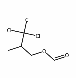 CC(COC=O)C(Cl)(Cl)Cl